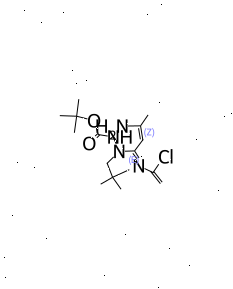 C=C(Cl)/N=C(\C=C(\C)N)N(CC(C)(C)C)NC(=O)OC(C)(C)C